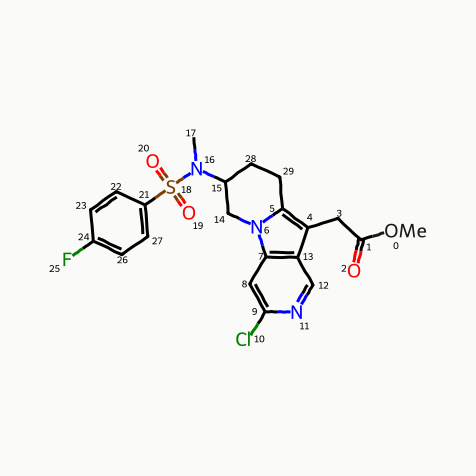 COC(=O)Cc1c2n(c3cc(Cl)ncc13)CC(N(C)S(=O)(=O)c1ccc(F)cc1)CC2